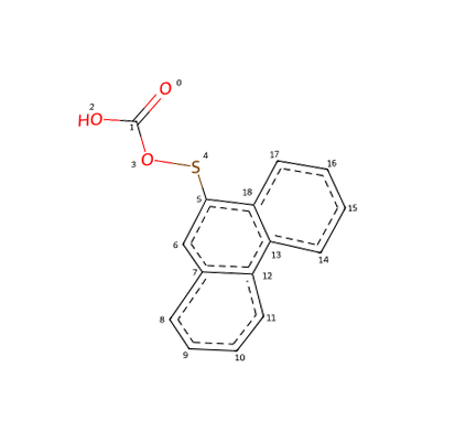 O=C(O)OSc1cc2ccccc2c2ccccc12